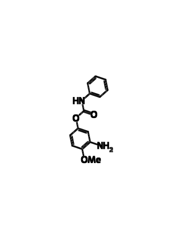 COc1ccc(OC(=O)Nc2ccccc2)cc1N